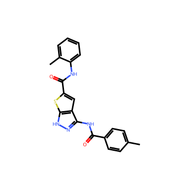 Cc1ccc(C(=O)Nc2n[nH]c3sc(C(=O)Nc4ccccc4C)cc23)cc1